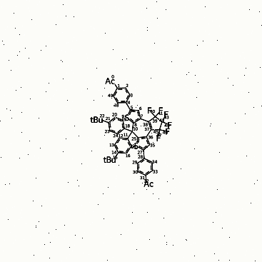 CC(=O)c1ccc(-c2cc3c(s2)C(c2ccc(C(C)(C)C)cc2)(c2ccc(C(C)(C)C)cc2)c2sc(-c4ccc(C(C)=O)cc4)cc2C2=C3C(F)(F)C(F)(F)C2(F)F)cc1